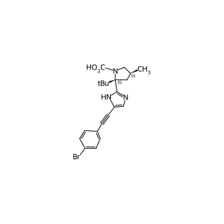 C[C@@H]1CN(C(=O)O)[C@](c2ncc(C#Cc3ccc(Br)cc3)[nH]2)(C(C)(C)C)C1